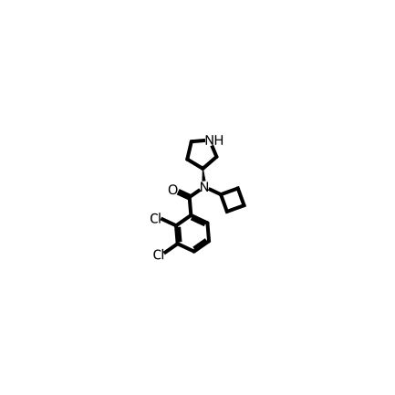 O=C(c1cccc(Cl)c1Cl)N(C1CCC1)[C@H]1CCNC1